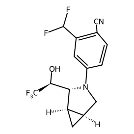 N#Cc1ccc(N2C[C@H]3C[C@H]3[C@@H]2[C@H](O)C(F)(F)F)cc1C(F)F